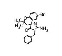 CC1(C)CC2(N=C(N)N(Cc3ccccc3)C2=O)c2cc(Br)ccc2O1